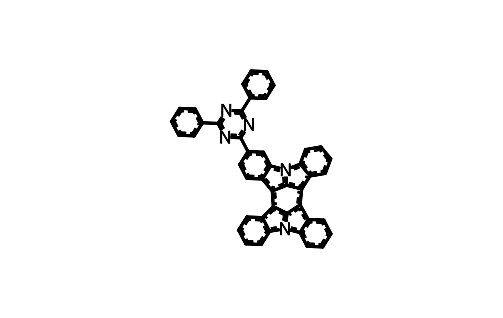 c1ccc(-c2nc(-c3ccccc3)nc(-c3ccc4c5c6c7ccccc7n7c8ccccc8c(c8c9ccccc9n(c4c3)c85)c67)n2)cc1